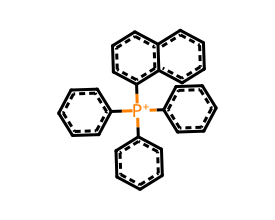 c1ccc([P+](c2ccccc2)(c2ccccc2)c2cccc3ccccc23)cc1